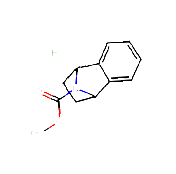 CC(C)(C)OC(=O)N1C2CCC1c1ccccc12.Cl